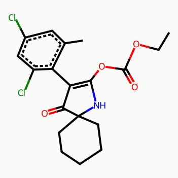 CCOC(=O)OC1=C(c2c(C)cc(Cl)cc2Cl)C(=O)C2(CCCCC2)N1